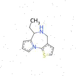 CCC1NCc2ccsc2-n2cccc21